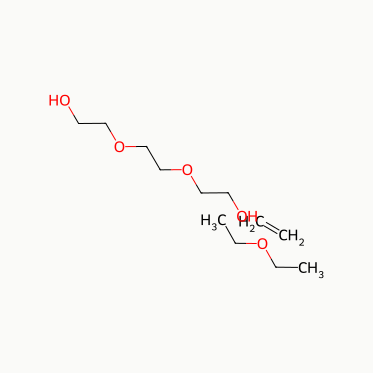 C=C.CCOCC.OCCOCCOCCO